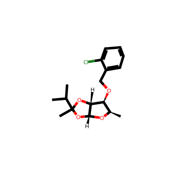 CC(C)C1(C)O[C@H]2O[C@H](C)[C@H](OCc3ccccc3Cl)[C@H]2O1